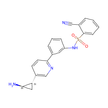 N#Cc1ccccc1S(=O)(=O)Nc1cccc(-c2ccc([C@@H]3C[C@H]3N)cn2)c1